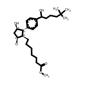 COC(=O)CCCCCC[C@@H]1[C@@H](c2ccc(C(O)CCCC(C)(C)C)cc2)[C@H](O)C[C@@H]1Cl